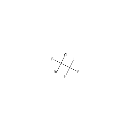 FC(Cl)(Br)C(F)(F)I